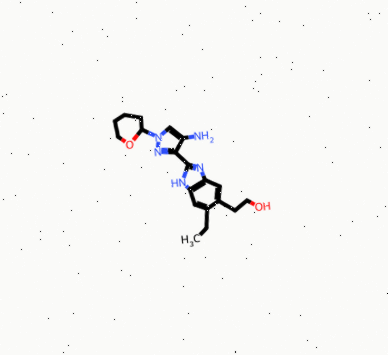 CCc1cc2[nH]c(-c3nn(C4CCCCO4)cc3N)nc2cc1CCO